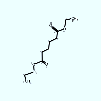 CCOOC(=O)CCCCC(=O)OCC